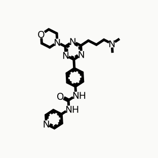 CN(C)CCCc1nc(-c2ccc(NC(=O)Nc3ccncc3)cc2)nc(N2CCOCC2)n1